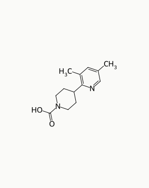 Cc1cnc(C2CCN(C(=O)O)CC2)c(C)c1